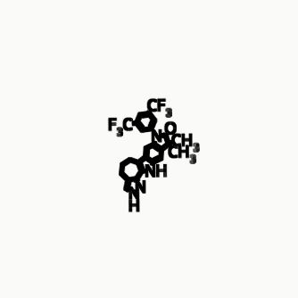 CC1(C)C(=O)N(c2cc(C(F)(F)F)cc(C(F)(F)F)c2)c2cc3c4c([nH]c3cc21)-c1n[nH]cc1CCC4